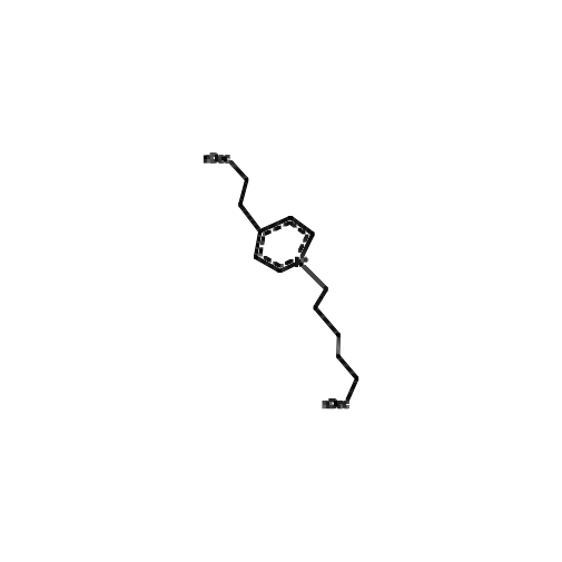 CCCCCCCCCCCCCCC[n+]1ccc(CCCCCCCCCCCC)cc1